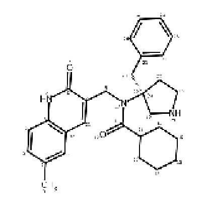 Cc1ccc2[nH]c(=O)c(CN(C(=O)C3CCCCC3)[C@@]3(Cc4ccccc4)CCNC3)cc2c1